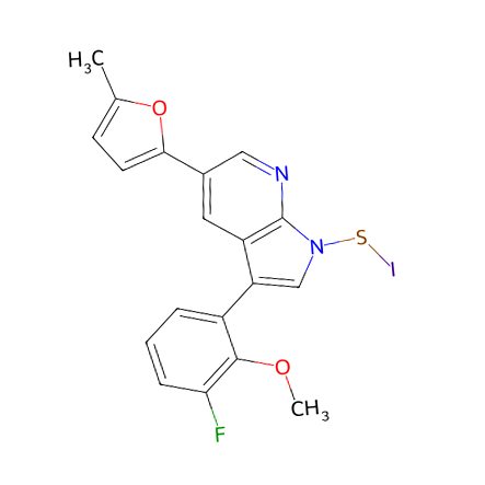 COc1c(F)cccc1-c1cn(SI)c2ncc(-c3ccc(C)o3)cc12